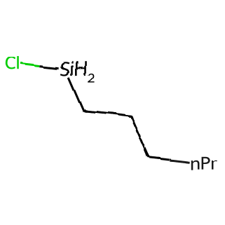 CCCCCC[SiH2]Cl